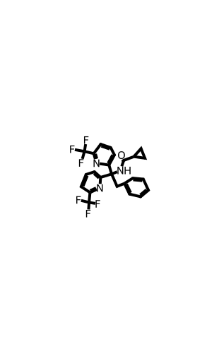 O=C(NC(Cc1ccccc1)(c1cccc(C(F)(F)F)n1)c1cccc(C(F)(F)F)n1)C1CC1